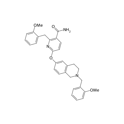 COc1ccccc1Cc1nc(Oc2ccc3c(c2)CCN(Cc2ccccc2OC)C3)ccc1C(N)=O